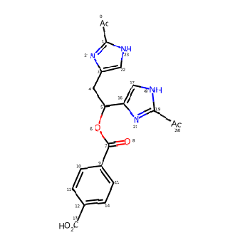 CC(=O)c1nc(CC(OC(=O)c2ccc(C(=O)O)cc2)c2c[nH]c(C(C)=O)n2)c[nH]1